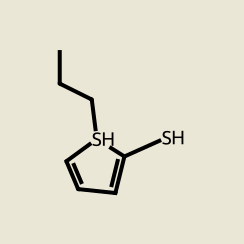 CCC[SH]1C=CC=C1S